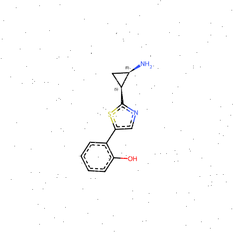 N[C@@H]1C[C@@H]1c1ncc(-c2ccccc2O)s1